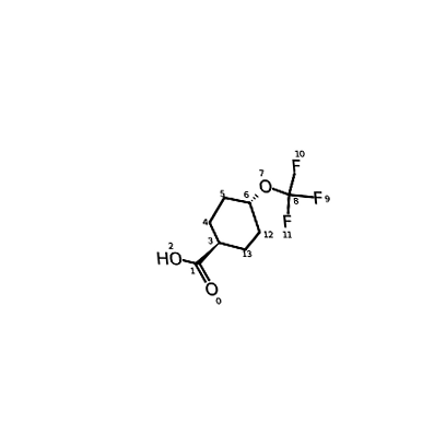 O=C(O)[C@H]1CC[C@H](OC(F)(F)F)CC1